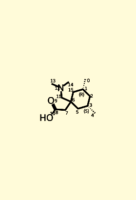 C[C@@H]1C[C@H](C)CC(CC(=O)O)(CN(C)C)C1